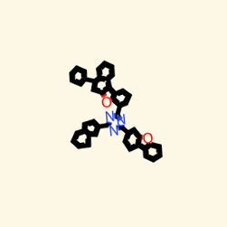 c1ccc(-c2cc3oc4c(-c5nc(-c6ccc7ccccc7c6)nc(-c6ccc7c(c6)oc6ccccc67)n5)cccc4c3c3ccccc23)cc1